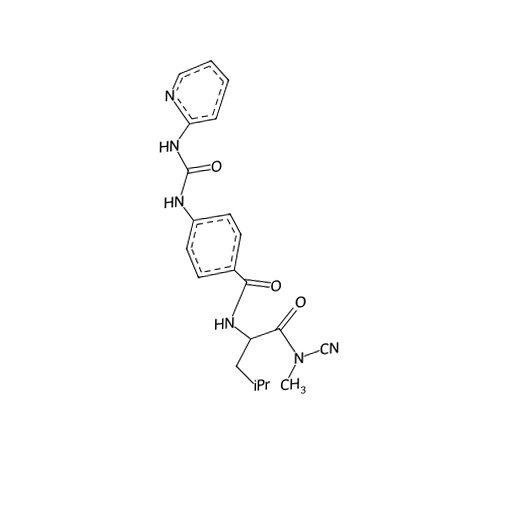 CC(C)CC(NC(=O)c1ccc(NC(=O)Nc2ccccn2)cc1)C(=O)N(C)C#N